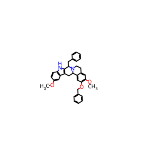 COc1ccc2[nH]c3c(c2c1)CC1c2cc(OCc4ccccc4)c(OC)cc2CCN1C3Cc1ccccc1